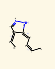 C\C=C/C=c1/[nH]nc/c1=C/C